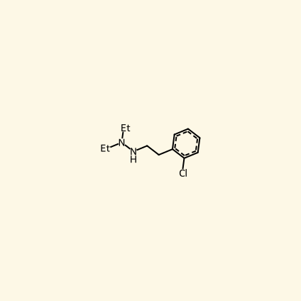 CCN(CC)NCCc1ccccc1Cl